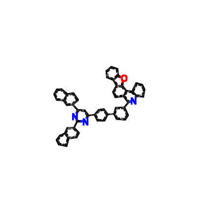 c1cc(-c2ccc(-c3cc(-c4ccc5ccccc5c4)nc(-c4ccc5ccccc5c4)n3)cc2)cc(-c2nc3ccccc3c3c2ccc2c4ccccc4oc23)c1